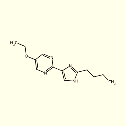 CCCCc1nc(-c2ncc(OCC)cn2)c[nH]1